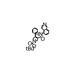 CC(C)(C)OC(=O)N1CC(C(=O)Nc2cccc3cnccc23)=C(c2ccccc2)C1